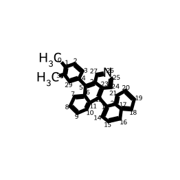 Cc1ccc(-c2c3ccccc3c(-c3cccc4ccccc34)c3ccncc23)cc1C